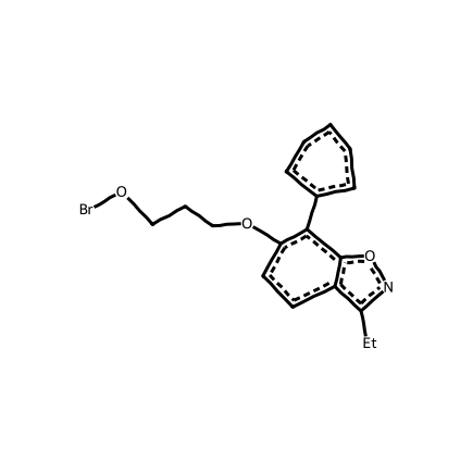 CCc1noc2c(-c3ccccc3)c(OCCCOBr)ccc12